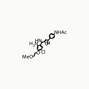 COCCOc1cc(N)c(C(=N)c2cc(-c3ccc(NC(C)=O)cc3)no2)cc1Cl